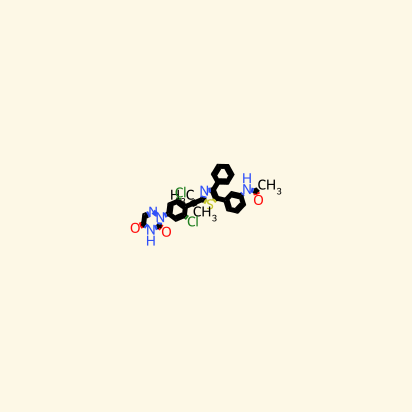 CC(=O)Nc1cccc(-c2sc(C(C)(C)c3c(Cl)cc(-n4ncc(=O)[nH]c4=O)cc3Cl)nc2-c2ccccc2)c1